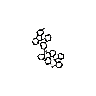 Cc1ccc2c(c1)C(c1ccccc1)(c1ccc(N(c3ccccc3)c3cccc(C4(c5ccccc5)c5ccccc5Sc5ccccc54)c3)cc1)c1ccccc1-2